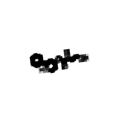 O=C(NCCO)OC1CCNC(c2ccccc2)C1